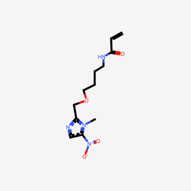 C=CC(=O)NCCCCOCc1ncc([N+](=O)[O-])n1C